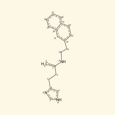 C=C(CCc1c[nH]cn1)NCCc1ccc2ccccc2c1